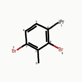 Cc1c(Br)ccc(C(C)C)c1Br